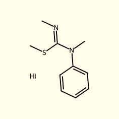 CN=C(SC)N(C)c1ccccc1.I